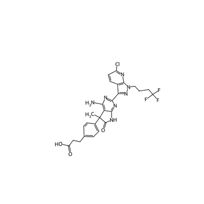 CC1(c2ccc(CCC(=O)O)cc2)C(=O)Nc2nc(-c3nn(CCCC(F)(F)F)c4nc(Cl)ccc34)nc(N)c21